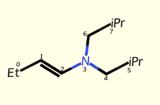 CCC=CN(CC(C)C)CC(C)C